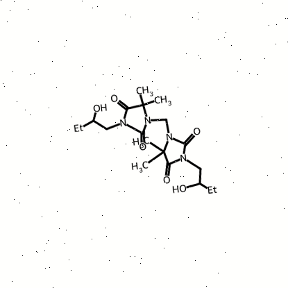 CCC(O)CN1C(=O)N(CN2C(=O)N(CC(O)CC)C(=O)C2(C)C)C(C)(C)C1=O